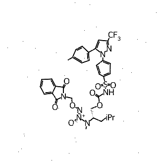 Cc1ccc(-c2cc(C(F)(F)F)nn2-c2ccc(S(=O)(=O)NC(=O)OC[C@H](CC(C)C)N(C)/[N+]([O-])=N/OCN3C(=O)c4ccccc4C3=O)cc2)cc1